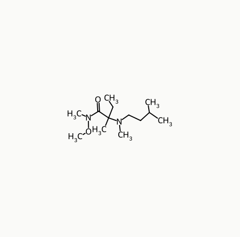 CCC(C)(C(=O)N(C)OC)N(C)CCC(C)C